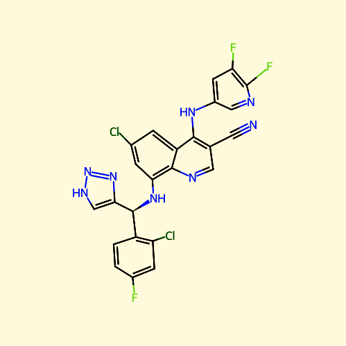 N#Cc1cnc2c(N[C@H](c3c[nH]nn3)c3ccc(F)cc3Cl)cc(Cl)cc2c1Nc1cnc(F)c(F)c1